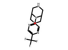 FC(F)(F)c1cnc(N2C3CNCC2COC3)cn1